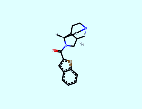 O=C(c1cc2ccccc2s1)N1C[C@@H]2C[N@@]3CCC2[C@@H]1C3